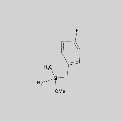 CO[Si](C)(C)Cc1ccc(F)cc1